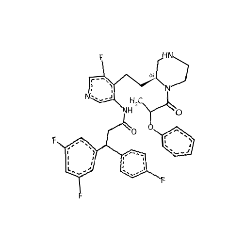 CC(Oc1ccccc1)C(=O)N1CCNC[C@@H]1CCc1c(F)cncc1NC(=O)CC(c1ccc(F)cc1)c1cc(F)cc(F)c1